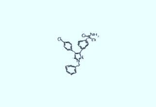 NS(=O)(=O)c1ccc(-c2nn(Cc3ccccc3)[c]c2-c2ccc(Cl)cc2)cc1